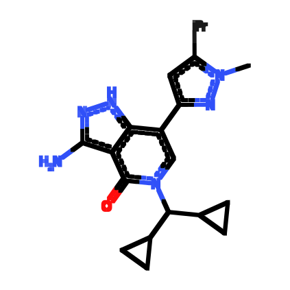 CC(C)c1cc(-c2cn(C(C3CC3)C3CC3)c(=O)c3c(N)n[nH]c23)nn1C